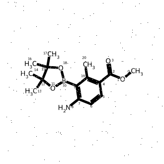 COC(=O)c1ccc(N)c(B2OC(C)(C)C(C)(C)O2)c1C